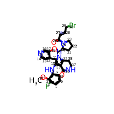 COc1c(F)cccc1Nc1c(-c2ccncc2OC[C@@H]2CCCN2C(=O)/C=C/CBr)[nH]c2c1C(=O)NCC2